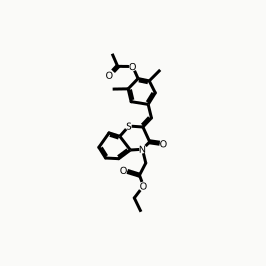 CCOC(=O)CN1C(=O)C(=Cc2cc(C)c(OC(C)=O)c(C)c2)Sc2ccccc21